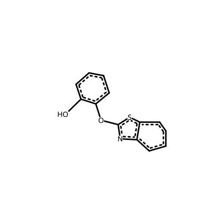 Oc1ccccc1Oc1nc2ccccc2s1